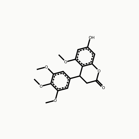 COc1cc(C2CC(=O)Oc3cc(O)cc(OC)c32)cc(OC)c1OC